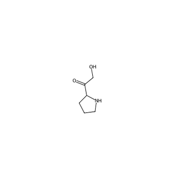 O=C(CO)C1CCCN1